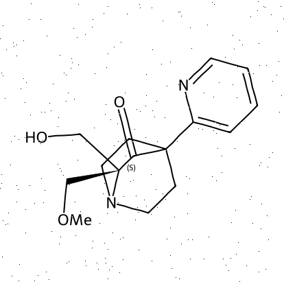 COC[C@@]1(CO)C(=O)C2(c3ccccn3)CCN1CC2